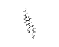 C=C[C@@H]1CC[C@@H]2CC(C3CCc4cc(CCCC)ccc4C3)CCC2C1